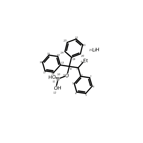 CCC(c1ccccc1)C(OB(O)O)(c1ccccc1)c1ccccc1.[LiH]